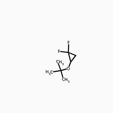 CC(C)(C)OC1CC1(F)F